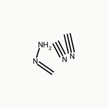 C#N.C#N.C=NN